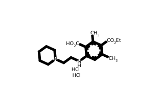 CCOC(=O)c1c(C)cc(NCCN2CCCCC2)c(C(=O)O)c1C.Cl.Cl